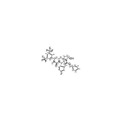 Cc1cc(F)ccc1[C@H]1C[C@]2(CCC(O)N2C(=O)OCc2ccccc2)CCN1C(=O)N(C)[C@H](C)c1cc(C(F)(F)F)cc(C(F)(F)F)c1